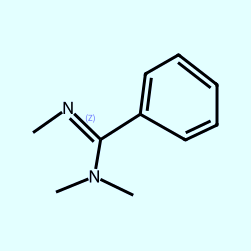 C/N=C(/c1ccccc1)N(C)C